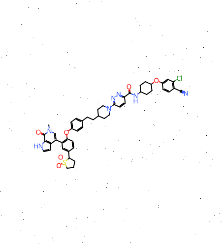 Cn1cc(-c2cc(C3CCCS3(=O)=O)ccc2Oc2ccc(CCC3CCN(c4ccc(C(=O)NC5CCC(Oc6ccc(C#N)c(Cl)c6)CC5)nn4)CC3)cc2)c2cc[nH]c2c1=O